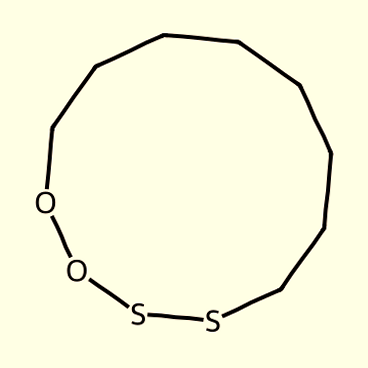 C1CCCCSSOOCCC1